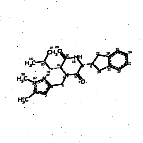 Cc1cc(CN2C(=O)[C@@H](C3Cc4ccccc4C3)NC(=O)[C@H]2CC(C)C)nn1C